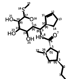 CCC[C@@H]1C[C@@H](C(=O)N[C@H]([C@H]2C=CCC2)[C@H]2OC(SC)[C@H](O)C(O)C2O)N(C)C1